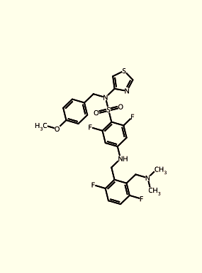 COc1ccc(CN(c2cscn2)S(=O)(=O)c2c(F)cc(NCc3c(F)ccc(F)c3CN(C)C)cc2F)cc1